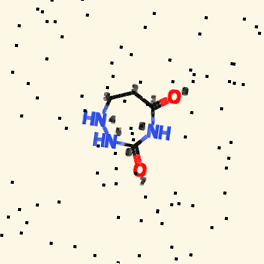 O=C1CCNNC(=O)N1